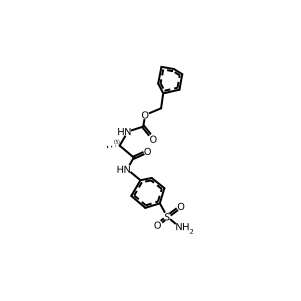 C[C@H](NC(=O)OCc1ccccc1)C(=O)Nc1ccc(S(N)(=O)=O)cc1